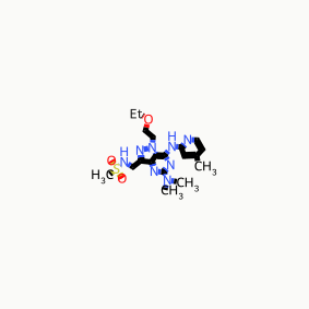 CCOCCn1nc(CNS(C)(=O)=O)c2nc(N(C)C)nc(Nc3cc(C)ccn3)c21